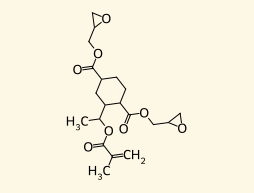 C=C(C)C(=O)OC(C)C1CC(C(=O)OCC2CO2)CCC1C(=O)OCC1CO1